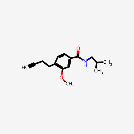 C#CCCc1ccc(C(=O)NCC(C)C)cc1OC